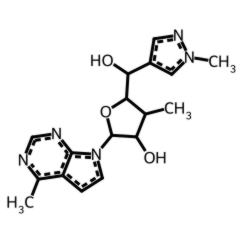 Cc1ncnc2c1ccn2C1OC(C(O)c2cnn(C)c2)C(C)C1O